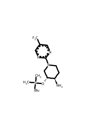 CC(C)(C)[Si](C)(C)O[C@@H]1CN(c2ncc(C(F)(F)F)cn2)CC[C@H]1N